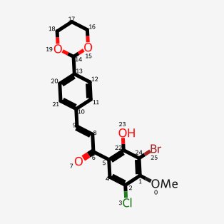 COc1c(Cl)cc(C(=O)/C=C/c2ccc(C3OCCCO3)cc2)c(O)c1Br